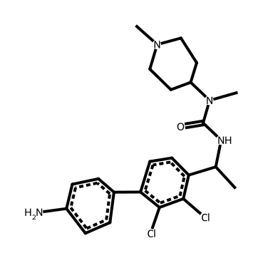 CC(NC(=O)N(C)C1CCN(C)CC1)c1ccc(-c2ccc(N)cc2)c(Cl)c1Cl